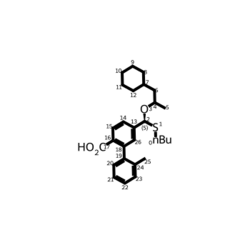 CCCCS[C@H](OC(C)CC1CCCCC1)c1ccc(C(=O)O)c(-c2ccccc2C)c1